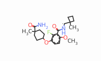 COc1ccc(OC2CCC(C)(C(N)=O)CC2)c(F)c1C(=O)N[CH]C1(C)CCC1